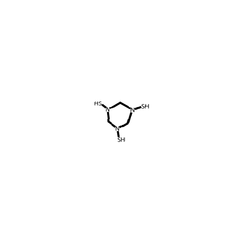 SN1CN(S)CN(S)C1